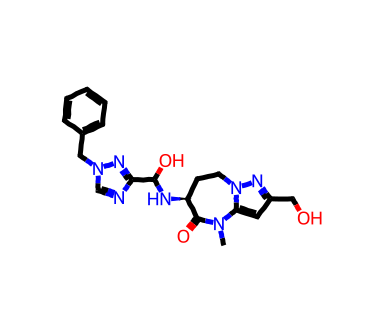 CN1C(=O)[C@@H](NC(O)c2ncn(Cc3ccccc3)n2)CCn2nc(CO)cc21